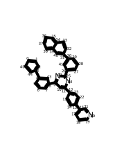 c1ccc(-c2cccc(-c3cc(-c4ccc(-c5cccnc5)cc4)nc(-c4cccc(-c5ccc6ccccc6c5)c4)n3)c2)cc1